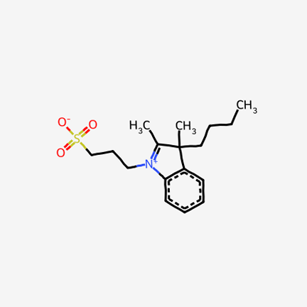 CCCCC1(C)C(C)=[N+](CCCS(=O)(=O)[O-])c2ccccc21